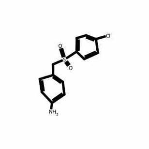 Nc1ccc(CS(=O)(=O)c2ccc(Cl)cc2)cc1